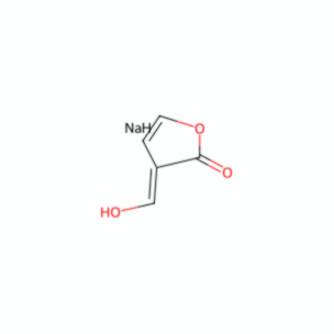 O=C1OC=CC1=CO.[NaH]